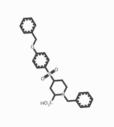 O=C(O)C1CC(S(=O)(=O)c2ccc(OCc3ccccc3)cc2)CCN1Cc1ccccc1